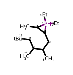 CC[PH]1(CC)C(C)C1CC(C)C(C)CC(C)(C)C